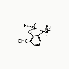 CC(C)(C)[Si](C)(C)Oc1cccc(C=O)c1O[Si](C)(C)C(C)(C)C